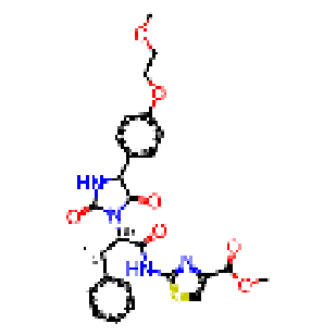 COCCOc1ccc(C2NC(=O)N([C@H](C(=O)Nc3nc(C(=O)OC)cs3)[C@@H](C)c3ccccc3)C2=O)cc1